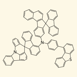 c1ccc2c(c1)-c1ccccc1C21c2cc(N(c3ccc(-c4cccc5sc6ccccc6c45)cc3)c3cccc4c3-c3ccccc3C43c4ccccc4-n4c5ccccc5c5cccc3c54)ccc2-c2c1ccc1ccccc21